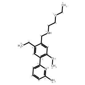 CCOCCNCc1cc(OC)c(-c2cccc(N)n2)cc1CC